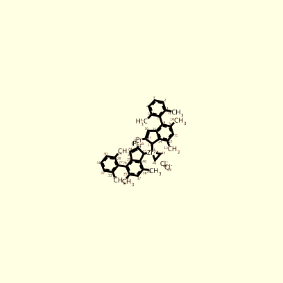 Cc1cccc(C)c1-c1c(C)cc(C)c2c1C=C(C(C)C)[CH]2[Zr+2]1([CH]2C(C(C)C)=Cc3c(-c4c(C)cccc4C)c(C)cc(C)c32)[CH2][CH2]1.[Cl-].[Cl-]